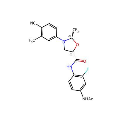 CC(=O)Nc1ccc(NC(=O)[C@@H]2CN(c3ccc(C#N)c(C(F)(F)F)c3)[C@@H](C(F)(F)F)O2)c(F)c1